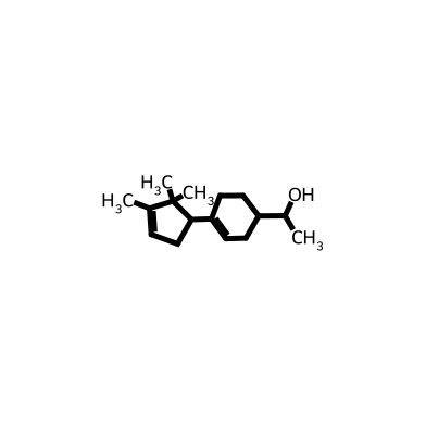 CC1=CCC(C2=CCC(C(C)O)CC2)C1(C)C